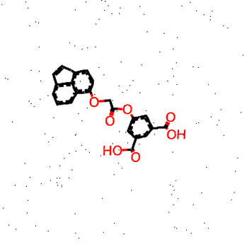 O=C(COc1ccc2c3c(cccc13)C=C2)Oc1cc(C(=O)O)cc(C(=O)O)c1